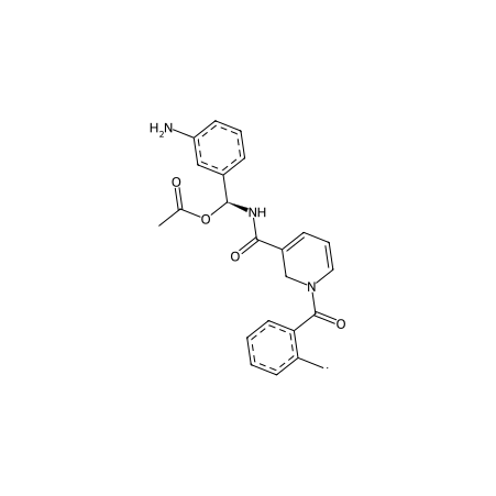 [CH2]c1ccccc1C(=O)N1C=CC=C(C(=O)N[C@@H](OC(C)=O)c2cccc(N)c2)C1